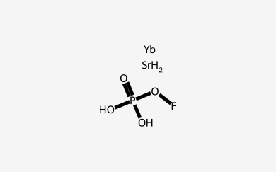 O=P(O)(O)OF.[SrH2].[Yb]